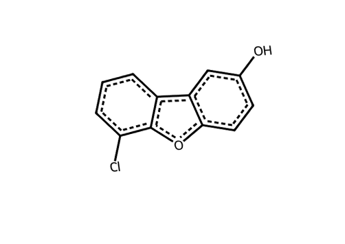 Oc1ccc2oc3c(Cl)cccc3c2c1